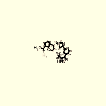 CC(C)c1cccc2c1OCC[C@H]2Cn1cnc(-c2cc(-c3nn[nH]c3C(F)(F)F)ccn2)c1